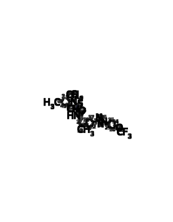 Cc1cc(C)c(N2C(=O)CS/C2=N\C(=O)NCCC(C)c2ccc(-c3ncn(-c4ccc(OC(F)(F)F)cc4)n3)cc2)c(C)c1